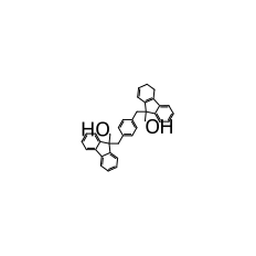 OCC1(Cc2ccc(CC3(CO)c4ccccc4-c4ccccc43)cc2)C2=C(CCC=C2)c2ccccc21